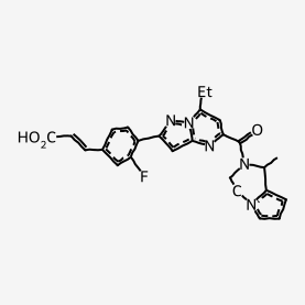 CCc1cc(C(=O)N2CCn3cccc3C2C)nc2cc(-c3ccc(/C=C/C(=O)O)cc3F)nn12